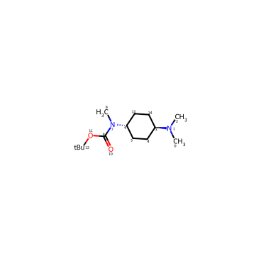 CN(C)[C@H]1CC[C@H](N(C)C(=O)OC(C)(C)C)CC1